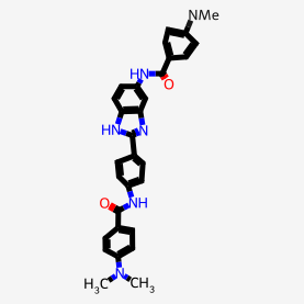 CNc1ccc(C(=O)Nc2ccc3[nH]c(-c4ccc(NC(=O)c5ccc(N(C)C)cc5)cc4)nc3c2)cc1